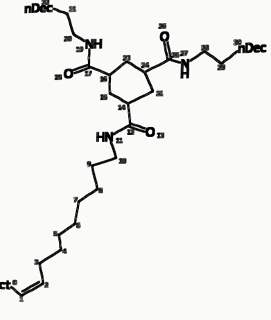 CCCCCCCC/C=C\CCCCCCCCNC(=O)C1CC(C(=O)NCCCCCCCCCCCC)CC(C(=O)NCCCCCCCCCCCC)C1